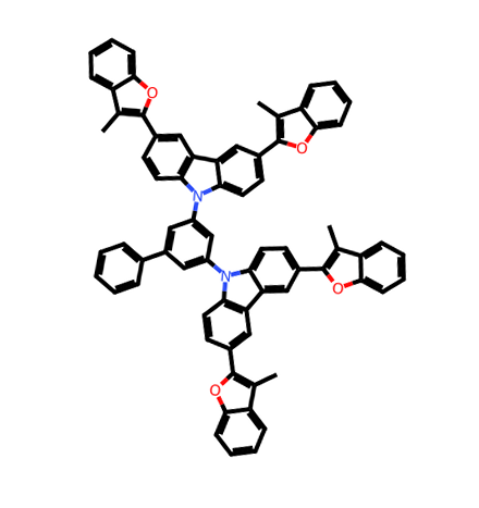 Cc1c(-c2ccc3c(c2)c2cc(-c4oc5ccccc5c4C)ccc2n3-c2cc(-c3ccccc3)cc(-n3c4ccc(-c5oc6ccccc6c5C)cc4c4cc(-c5oc6ccccc6c5C)ccc43)c2)oc2ccccc12